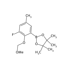 COCOc1c(F)cc(C)cc1B1OC(C)(C)C(C)(C)O1